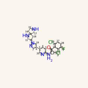 C[C@@H](Oc1cc(-c2cnn(C3CNC4(CCNC4)C3)c2)cnc1N)c1c(Cl)ccc(F)c1Cl